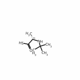 C[C@H](NC(C)(C)C)C(=O)S